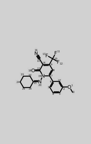 COc1cccc(-c2cc(C(F)(F)F)c(C#N)c(=O)n2N=C2CCCCC2)c1